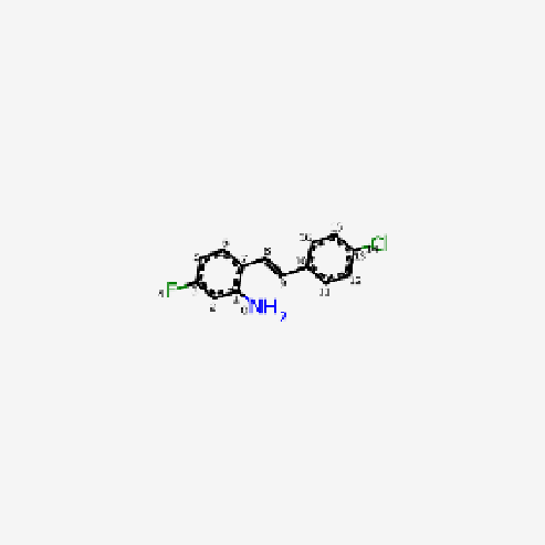 Nc1cc(F)ccc1C=Cc1ccc(Cl)cc1